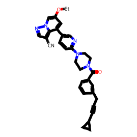 CCOc1cc(-c2ccc(N3CCN(C(=O)c4cccc(CC#CC5CC5)c4)CC3)nc2)c2c(C#N)cnn2c1